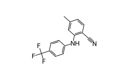 Cc1ccc(C#N)c(Nc2ccc(C(F)(F)F)cc2)c1